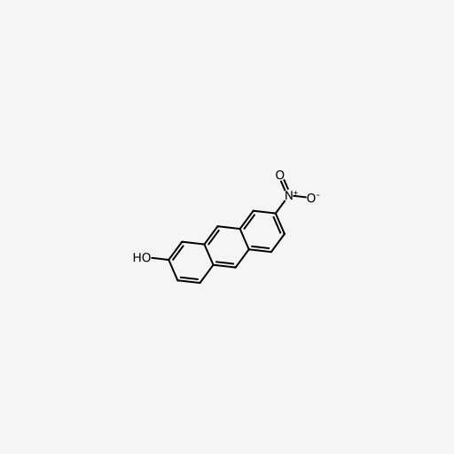 O=[N+]([O-])c1ccc2cc3ccc(O)cc3cc2c1